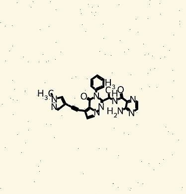 CC(NC(=O)c1nccnc1N)c1nn2ccc(C#Cc3cnn(C)c3)c2c(=O)n1-c1ccccc1